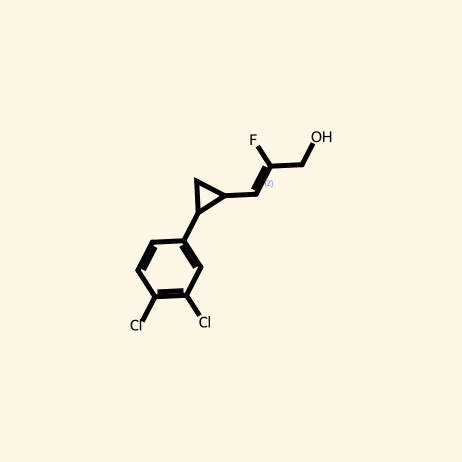 OC/C(F)=C/C1CC1c1ccc(Cl)c(Cl)c1